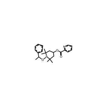 CC(ON1C(C)(C)CC(OC(=O)c2ccccn2)CC1(C)C)c1ccccc1